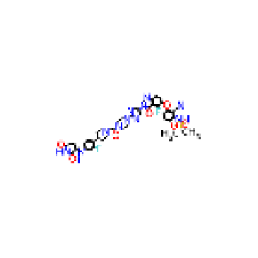 CC(C)S(=O)(=O)Nc1ccc(F)c(Oc2ccc3ncn(-c4cnc(N5CCN(C(=O)CN6CCC(c7ccc(N[C@@H]8CCC(=O)NC8=O)cc7F)CC6)CC5)nc4)c(=O)c3c2)c1C#N